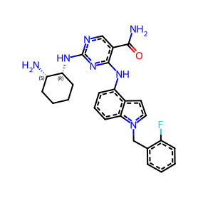 NC(=O)c1cnc(N[C@@H]2CCCC[C@@H]2N)nc1Nc1cccc2c1ccn2Cc1ccccc1F